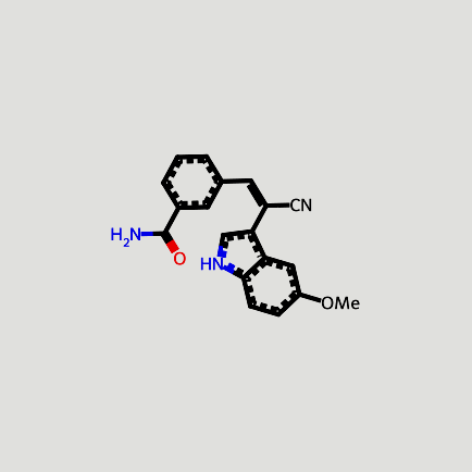 COc1ccc2[nH]cc(/C(C#N)=C\c3cccc(C(N)=O)c3)c2c1